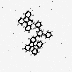 c1ccc(-c2nc(-c3cccc(-c4cc5c6ccccc6c6ccccc6c5c5ccccc45)c3)nc(-c3ccc4c(c3)C(c3ccccc3)(c3ccccc3)c3ccccc3-4)n2)cc1